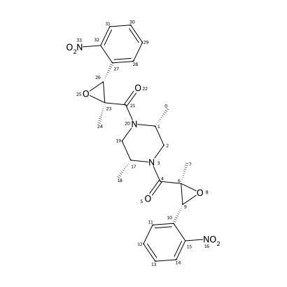 C[C@@H]1CN(C(=O)[C@@]2(C)O[C@@H]2c2ccccc2[N+](=O)[O-])[C@H](C)CN1C(=O)[C@@]1(C)O[C@@H]1c1ccccc1[N+](=O)[O-]